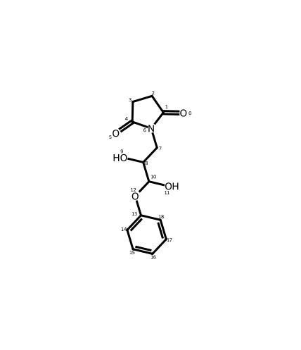 O=C1CCC(=O)N1CC(O)C(O)Oc1ccccc1